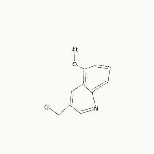 CCOc1cccc2ncc(CCl)cc12